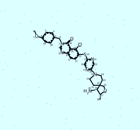 COc1ccc(Cn2cnc3ccc(Sc4cnc(N5CCC6(CC5)CO[C@@H](C)[C@H]6N)cn4)c(Cl)c3c2=O)cc1